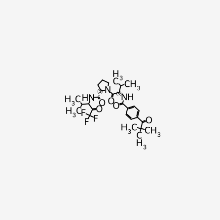 CC(C)C(NC(=O)[C@@H]1CCCN1C(=O)[C@@H](NC(=O)c1ccc(C(=O)C(C)(C)C)cc1)C(C)C)C(=O)C(F)(F)F